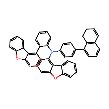 C1=Cc2cccc(-c3ccc(N(c4ccccc4-c4cccc5oc6ccccc6c45)c4cccc5oc6ccccc6c45)cc3)c2CC1